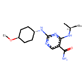 CCO[C@H]1CC[C@H](Nc2ncc(C(N)=O)c(N[C@@H](C)C(C)(C)C)n2)CC1